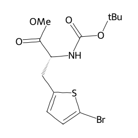 COC(=O)[C@@H](Cc1ccc(Br)s1)NC(=O)OC(C)(C)C